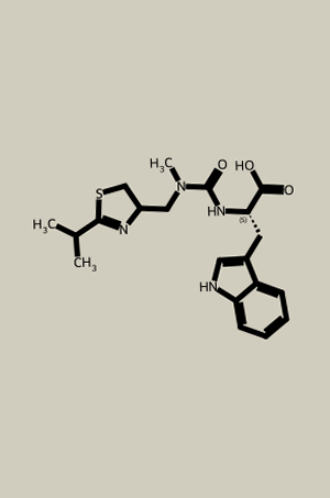 CC(C)C1=NC(CN(C)C(=O)N[C@@H](Cc2c[nH]c3ccccc23)C(=O)O)CS1